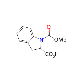 COC(=O)N1c2ccccc2CC1C(=O)O